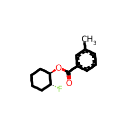 Cc1cccc(C(=O)O[C@@H]2CCCC[C@H]2F)c1